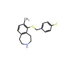 Cc1ccc2c(c1SCc1ccc(F)cc1)CCNCC2